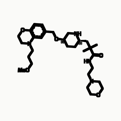 COCCCN1CCOc2ccc(CO[C@@H]3CC[C@@H](CC(C)(C)C(=O)NCCN4CCOCC4)NC3)cc21